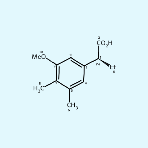 CC[C@H](C(=O)O)c1cc(C)c(C)c(OC)c1